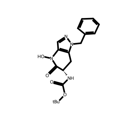 CC(C)(C)OC(=O)N[C@H]1Cc2c(cnn2Cc2ccccc2)N(O)C1=O